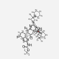 CC(C)(C)OC(=O)Nc1nc2c(-c3c(Cl)cc4c(N5CC6CCC(C(C)(C)C)(C5)N6C(=O)O)nc(N5CC(C)(N6CCCCC6)C5)nc4c3F)ccc(F)c2s1